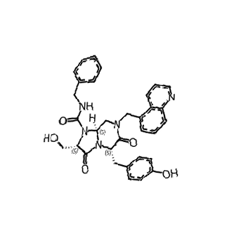 O=C1[C@H](Cc2ccc(O)cc2)N2C(=O)[C@H](CO)N(C(=O)NCc3ccccc3)[C@H]2CN1Cc1cccc2ncccc12